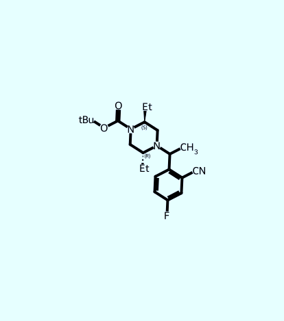 CC[C@H]1CN(C(C)c2ccc(F)cc2C#N)[C@H](CC)CN1C(=O)OC(C)(C)C